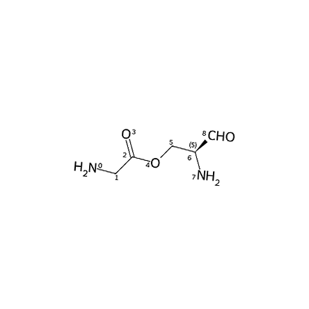 NCC(=O)OC[C@H](N)C=O